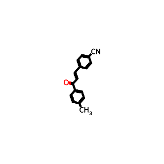 Cc1ccc(C(=O)/C=C/c2ccc(C#N)cc2)cc1